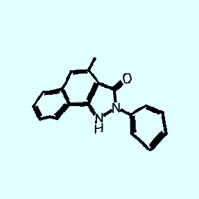 Cc1cc2ccccc2c2[nH]n(-c3ccccc3)c(=O)c12